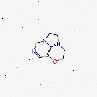 C1=NCN2CCN3CCOC1=C32